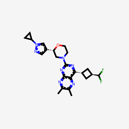 Cc1nc2nc(N3CCO[C@@H](c4cnn(C5CC5)c4)C3)nc([C@H]3C[C@H](C(F)F)C3)c2nc1C